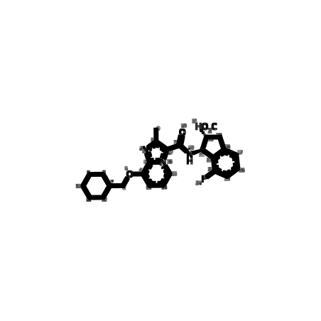 Cc1nc2c(OCC3CCCCC3)cccn2c1C(=O)N[C@@H]1c2c(F)cccc2C[C@H]1C(=O)O